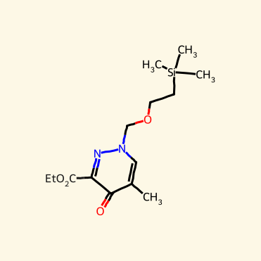 CCOC(=O)c1nn(COCC[Si](C)(C)C)cc(C)c1=O